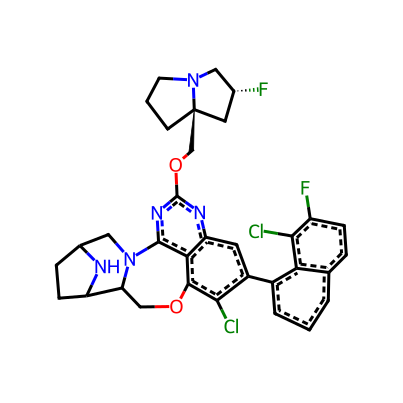 Fc1ccc2cccc(-c3cc4nc(OC[C@@]56CCCN5C[C@H](F)C6)nc5c4c(c3Cl)OCC3C4CCC(CN53)N4)c2c1Cl